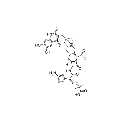 C[C@@H]1S[C@@H]2[C@H](NC(=O)/C(=N\OC(C)(C)C(=O)O)c3csc(N)n3)C(=O)N2C(C(=O)[O-])=C1C[N+]12CCC(Cn3c(=O)[nH]c4cc(O)c(O)cc4c3=O)(CC1)CC2